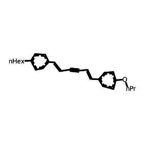 CCCCCCc1ccc(C=CC#CC=Cc2ccc(OCCC)cc2)cc1